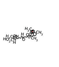 CC(O)C(NC(=O)CCCNC(=O)CCC(=O)OC1O[C@H]2OC3(C)CCC4C(C)CCC(C1C)C42OO3)C(=O)O